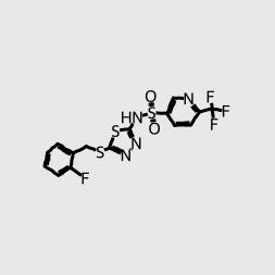 O=S(=O)(Nc1nnc(SCc2ccccc2F)s1)c1ccc(C(F)(F)F)nc1